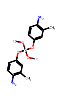 CCO[Si](OCC)(Oc1ccc(N)c(C)c1)Oc1ccc(N)c(C)c1